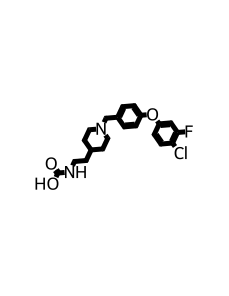 O=C(O)NCCC1CCN(Cc2ccc(Oc3ccc(Cl)c(F)c3)cc2)CC1